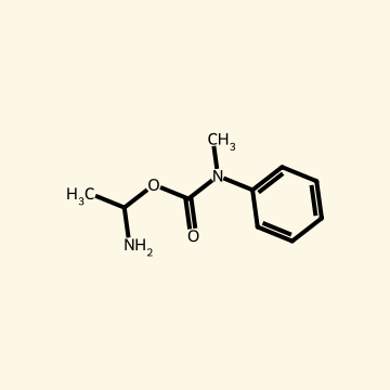 CC(N)OC(=O)N(C)c1ccccc1